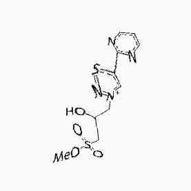 COS(=O)(=O)CC(O)C[n+]1cc(-c2ncccn2)sn1